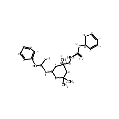 CC1(C)CC(NC(S)Oc2ccccc2)CC(C)(CNC(=S)OC2C=CC=CC2)C1